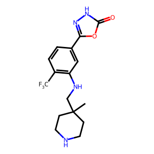 CC1(CNc2cc(-c3n[nH]c(=O)o3)ccc2C(F)(F)F)CCNCC1